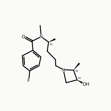 C[C@H]1[C@@H](O)CN1CCC[C@H](C)N(C)C(=O)c1ccc(F)cc1